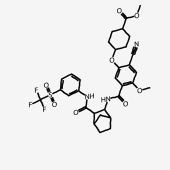 COC(=O)C1CCC(Oc2cc(C(=O)NC3C4CCC(C4)C3C(=O)Nc3cccc(S(=O)(=O)C(F)(F)F)c3)c(OC)cc2C#N)CC1